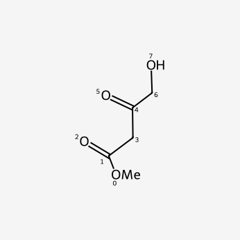 COC(=O)CC(=O)CO